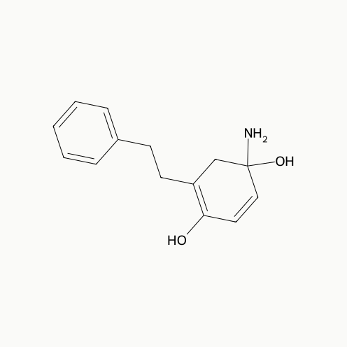 NC1(O)C=CC(O)=C(CCc2ccccc2)C1